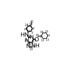 Fc1ccc(Nc2nc(OCC3CCCCC3)c3[nH]cnc3n2)cc1